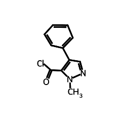 Cn1ncc(-c2ccccc2)c1C(=O)Cl